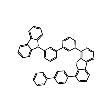 c1ccc(-c2ccc(-c3cccc4c3oc3c(-c5cccc(-c6cccc(-n7c8ccccc8c8ccccc87)c6)c5)ncnc34)cc2)cc1